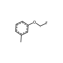 Cc1cccc(O[CH]F)c1